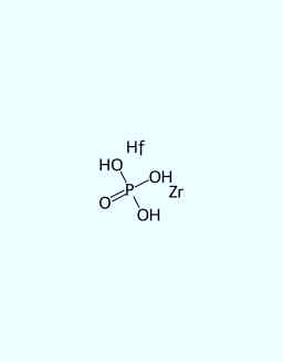 O=P(O)(O)O.[Hf].[Zr]